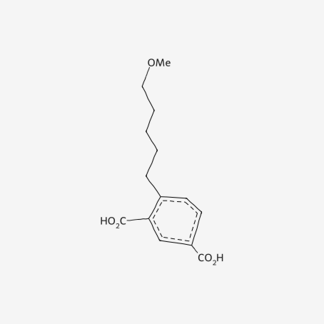 COCCCCCc1ccc(C(=O)O)cc1C(=O)O